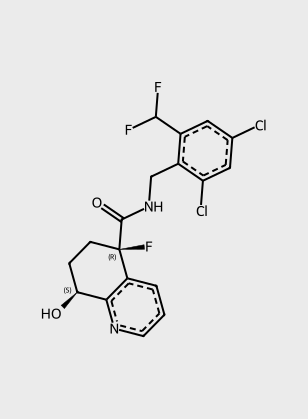 O=C(NCc1c(Cl)cc(Cl)cc1C(F)F)[C@@]1(F)CC[C@H](O)c2ncccc21